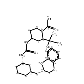 CC(C)(C)C1CC(NC(=O)N[C@H]2CCCN(C[C@H]3COc4ccccc4O3)C2)CCN1C(=O)O